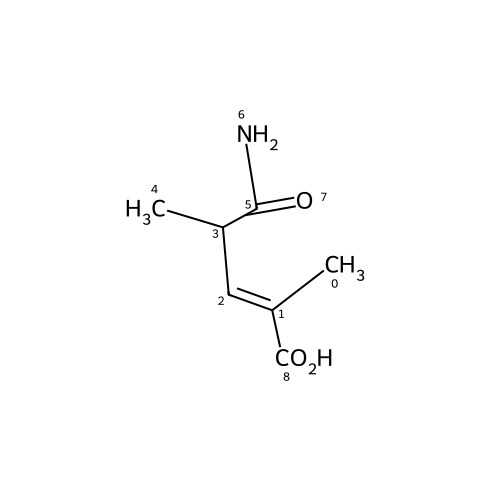 CC(=CC(C)C(N)=O)C(=O)O